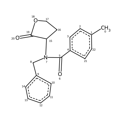 Cc1ccc(C(=O)N(Cc2ccccc2)C2CCOC2=O)cc1